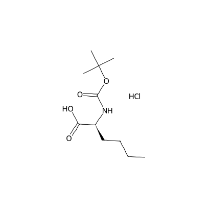 CCCC[C@H](NC(=O)OC(C)(C)C)C(=O)O.Cl